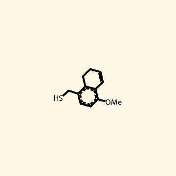 COc1ccc(CS)c2c1C=CCC2